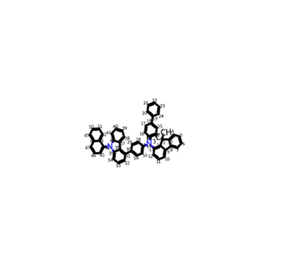 CC1(C)c2ccccc2-c2cccc(N(c3ccc(-c4ccccc4)cc3)c3ccc(-c4cccc5c4c4ccccc4n5-c4cccc5ccccc45)cc3)c21